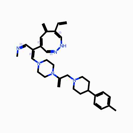 C=C/C1=C/N\N=C/C(C(/C=N\C)=C\N2CCN(C(=C)CN3CCC(c4ccc(C)cc4)CC3)CC2)=C\C1=C